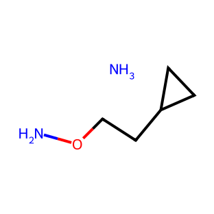 N.NOCCC1CC1